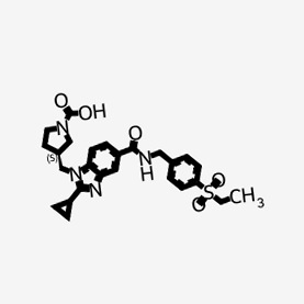 CCS(=O)(=O)c1ccc(CNC(=O)c2ccc3c(c2)nc(C2CC2)n3C[C@H]2CCN(C(=O)O)C2)cc1